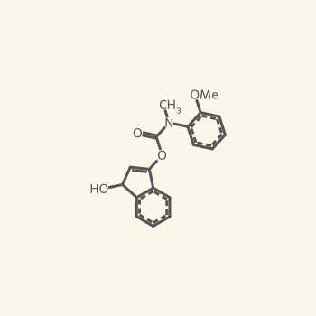 COc1ccccc1N(C)C(=O)OC1=CC(O)c2ccccc21